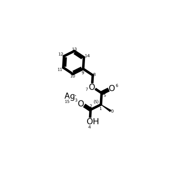 C[C@@H](C(=O)O)C(=O)OCc1ccccc1.[Ag]